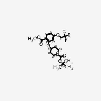 COC(=O)c1ccc(OCC(F)(F)F)cc1OC1CCN(C(=O)OC(C)(C)C)CC1